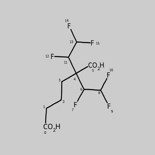 O=C(O)CCCC(C(=O)O)(C(F)C(F)F)C(F)C(F)F